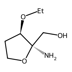 CCO[C@@H]1CCO[C@]1(N)CO